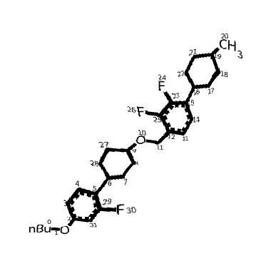 CCCCOc1ccc(C2CCC(OCc3ccc(C4CCC(C)CC4)c(F)c3F)CC2)c(F)c1